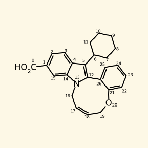 O=C(O)c1ccc2c(C3CCCCC3)c3n(c2c1)C/C=C\COc1ccccc1-3